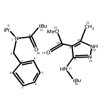 CC(C)N(Cc1ccccc1)C(=O)C(C)(C)C.COC(=O)c1c(NC(C)(C)C)n[nH]c1C